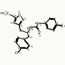 O=C(Nc1ccc(F)cc1)N[C@@H](Cc1ccc(Cl)cc1)Cc1noc(C(=O)O)n1